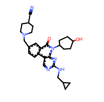 N#CC1CCN(Cc2ccc3c(c2)c(=O)n(C2CCC(O)CC2)c2nc(NCC4CC4)ncc32)CC1